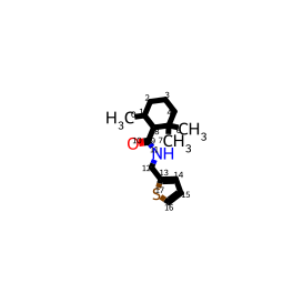 CC1CCCC(C)(C)C1C(=O)NCc1cccs1